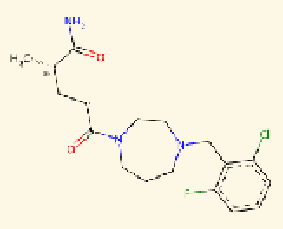 C[C@@H](C[CH]C(=O)N1CCCN(Cc2c(F)cccc2Cl)CC1)C(N)=O